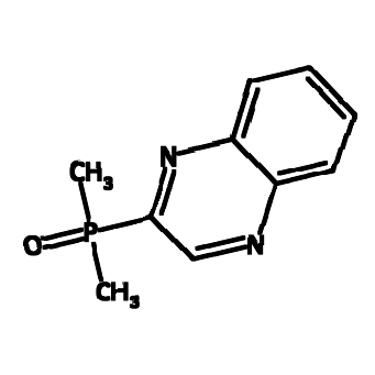 CP(C)(=O)c1cnc2ccccc2n1